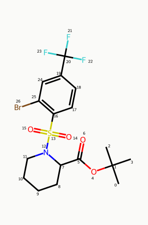 CC(C)(C)OC(=O)C1CCCCN1S(=O)(=O)c1ccc(C(F)(F)F)cc1Br